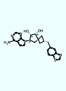 Nc1ncnc2c1ccn2[C@@H]1C[C@]2(C[C@H](Cc3ccc4scnc4c3)C2)[C@@H](O)[C@H]1O